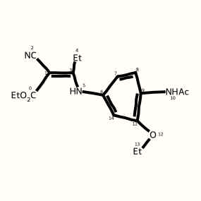 CCOC(=O)/C(C#N)=C(/CC)Nc1ccc(NC(C)=O)c(OCC)c1